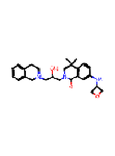 CC1(C)CN(CC(O)CN2CCc3ccccc3C2)C(=O)c2cc(NC3COC3)ccc21